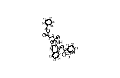 O=C(CCS(=O)(=O)NC1C=Nc2ccccc2N1OC(c1cccnc1)C(F)(F)F)OCc1ccccc1